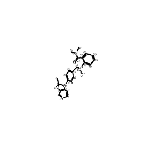 Cc1nc2cnccc2n1-c1ccc(C[S+]([O-])c2ccccc2C(=O)N(C)C)cc1